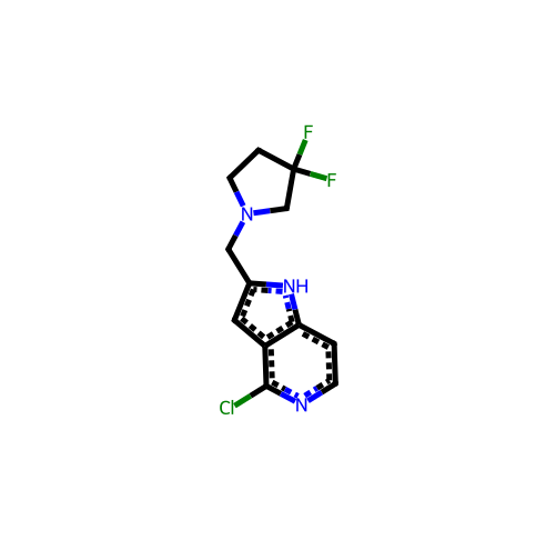 FC1(F)CCN(Cc2cc3c(Cl)nccc3[nH]2)C1